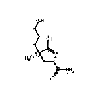 NC(=O)CC[C@@](N)(CCCO)C(=O)O